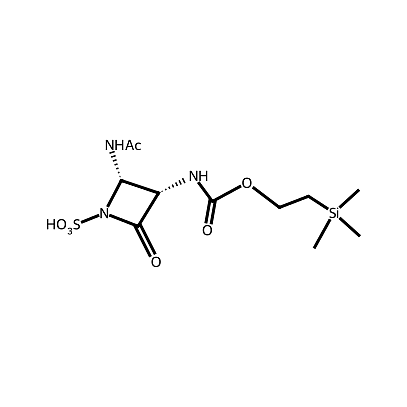 CC(=O)N[C@@H]1[C@H](NC(=O)OCC[Si](C)(C)C)C(=O)N1S(=O)(=O)O